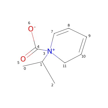 CC(C)[N+]1(C(=O)[O-])C=CC=CC1